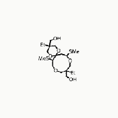 CCC1(CO)COCC(SC)C2(CC(SC)OC1)OCC(CC)(CO)CO2